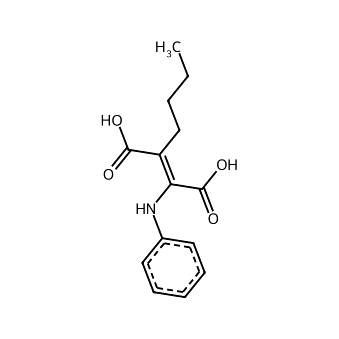 CCCCC(C(=O)O)=C(Nc1ccccc1)C(=O)O